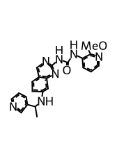 COc1ncccc1NC(=O)Nc1ncc2ccc(NC(C)c3cccnc3)cc2n1